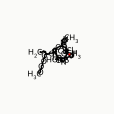 C=C/C=C\C(=C/COc1ccc2cc1C[C@H](C(=O)O)Oc1ncnc3sc(-c4ccc(F)cc4)c(c13)-c1c(C)c(Cl)c(c(Cl)c1C)O[C@H](CN1CCN(C)CC1)CO2)OCCOCCOCCOC